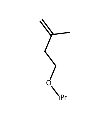 C=C(C)CCOC(C)C